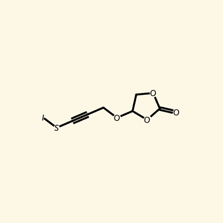 O=C1OCC(OCC#CSI)O1